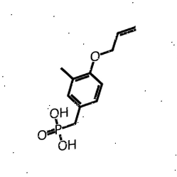 C=CCOc1ccc(CP(=O)(O)O)cc1C